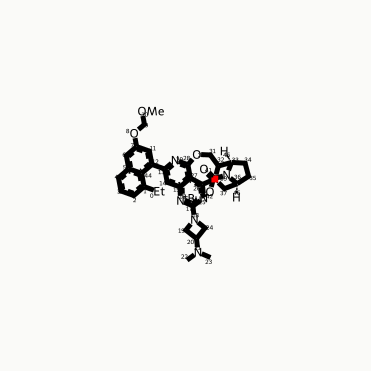 CCc1cccc2cc(OCOC)cc(-c3cc4nc(N5CC(N(C)C)C5)nc5c4c(n3)OCC3[C@H]4CC[C@@H](CN53)N4C(=O)OC(C)(C)C)c12